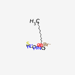 CCCCCCCCCCCCCCOc1ccccc1NC(=O)c1ccc(C[n+]2ccsc2)cc1.[Br-]